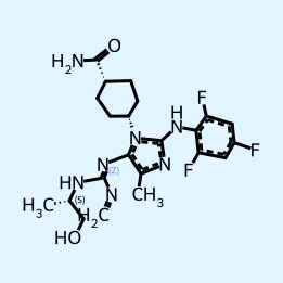 C=N/C(=N\c1c(C)nc(Nc2c(F)cc(F)cc2F)n1[C@H]1CC[C@@H](C(N)=O)CC1)N[C@@H](C)CO